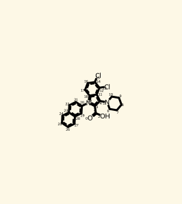 O=C(O)c1c(N2CCCCC2)c2c(Cl)c(Cl)ccc2n1-c1ccc2ccccc2c1